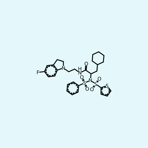 O=C(NCCN1CCc2cc(F)ccc21)C(CC1CCCCC1)N(S(=O)(=O)c1ccccc1)S(=O)(=O)c1cccs1